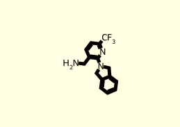 NCc1ccc(C(F)(F)F)nc1N1Cc2ccccc2C1